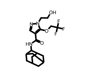 O=C(NC1C2CC3CC(C2)CC1C3)c1cnn(CCO)c1OCC(F)(F)F